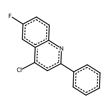 Fc1ccc2nc(-c3ccccc3)cc(Cl)c2c1